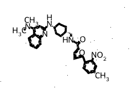 Cc1ccc(-c2ccc(C(=O)NC[C@H]3CC[C@@H](Nc4cc(N(C)C)c5ccccc5n4)CC3)o2)c([N+](=O)[O-])c1